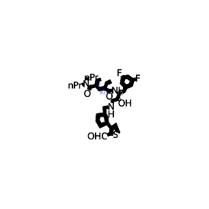 C=C/C(=C\C(=C/C)C(=O)N(CCC)CCC)C(=O)N[C@@H](Cc1cc(F)cc(F)c1)[C@H](O)CNCc1cccc(-c2ccsc2C=O)c1